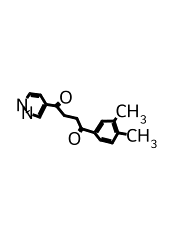 Cc1ccc(C(=O)CCC(=O)c2ccnnc2)cc1C